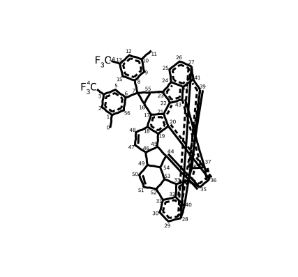 Cc1cc(C(F)(F)F)cc(C2(c3cc(C)cc(C(F)(F)F)c3)C3c4c5c6c7c4c4c(c8ccc9c%10ccc%11c%12c%13c%14c(c7c7c%14c(c%12%10)c9c8c47)=C4C6C(C=C5)C5C=CC%11C%13C45)C32)c1